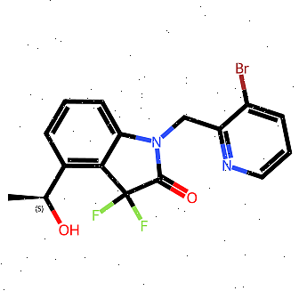 C[C@H](O)c1cccc2c1C(F)(F)C(=O)N2Cc1ncccc1Br